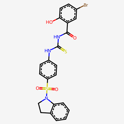 O=C(NC(=S)Nc1ccc(S(=O)(=O)N2CCc3ccccc32)cc1)c1cc(Br)ccc1O